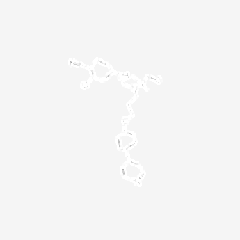 CC(C)(C=O)N(CCCOc1ccc(-c2ccncc2)cc1)CNc1ccc(C#N)c(Cl)c1